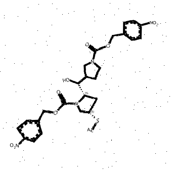 CC(=O)S[C@H]1C[C@@H](C(O)C2CCN(C(=O)OCc3ccc([N+](=O)[O-])cc3)C2)N(C(=O)OCc2ccc([N+](=O)[O-])cc2)C1